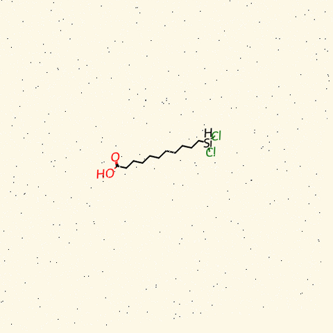 O=C(O)CCCCCCCCCC[SiH](Cl)Cl